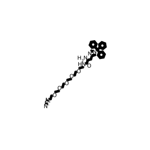 [N-]=[N+]=NCCOCCOCCOCCOCCOCCNC(=O)C(N)Cc1cn(C(c2ccccc2)(c2ccccc2)c2ccccc2)cn1